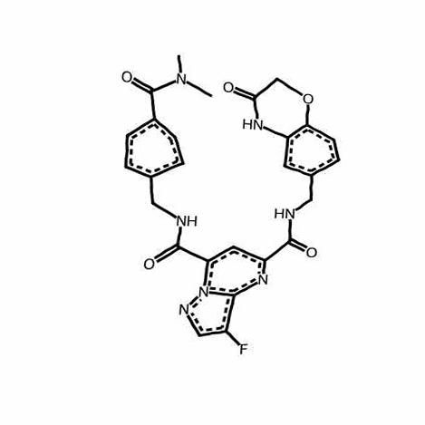 CN(C)C(=O)c1ccc(CNC(=O)c2cc(C(=O)NCc3ccc4c(c3)NC(=O)CO4)nc3c(F)cnn23)cc1